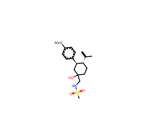 C=C(C)[C@@H]1CCC(O)(CNS(C)(=O)=O)C[C@H]1c1ccc(OC)cc1